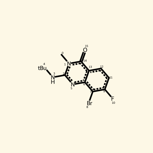 Cn1c(NC(C)(C)C)nc2c(Br)c(F)ccc2c1=O